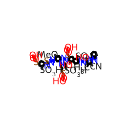 COc1cc(N=Nc2c(SOOO)cc3c(S(=O)(=O)O)c(N=Nc4c(C)c(C#N)c5nc6ccccc6n5c4O)ccc3c2O)c(N(CCCSOOO)CCCS(=O)(=O)O)cc1N=Nc1nc2c(S(=O)(=O)O)cc(SOOO)cc2s1